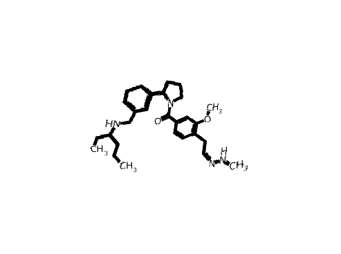 CCCC(CC)NCC1=CCCC(C2CCCN2C(=O)c2ccc(C/C=N\NC)c(OC)c2)=C1